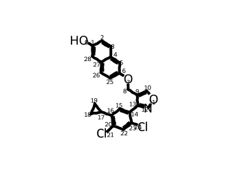 Oc1ccc2cc(OCc3conc3-c3cc(C4CC4)c(Cl)cc3Cl)ccc2c1